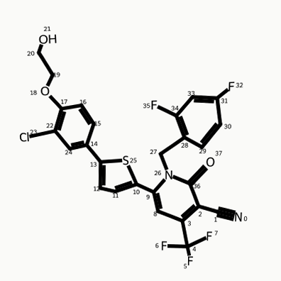 N#Cc1c(C(F)(F)F)cc(-c2ccc(-c3ccc(OCCO)c(Cl)c3)s2)n(Cc2ccc(F)cc2F)c1=O